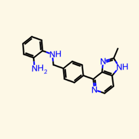 Cc1nc2c(-c3ccc(CNc4ccccc4N)cc3)nccc2[nH]1